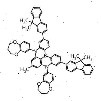 Cc1cc2c3c(c1)N(c1ccc4c(c1)OCCCO4)c1cc(-c4ccc5c(c4)C(C)(C)c4ccccc4-5)ccc1B3c1ccc(-c3ccc4c(c3)C(C)(C)c3ccccc3-4)cc1N2c1ccc2c(c1)OCCCO2